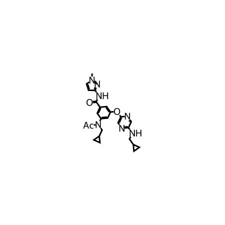 CC(=O)N(CC1CC1)c1cc(Oc2cnc(NCC3CC3)cn2)cc(C(=O)Nc2ccn(C)n2)c1